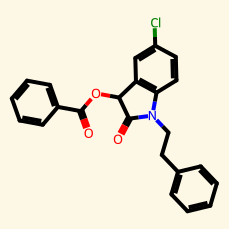 O=C(OC1C(=O)N(CCc2ccccc2)c2ccc(Cl)cc21)c1ccccc1